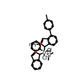 CCCC1=Cc2c(-c3ccc(C)cc3)cccc2[CH]1[Zr]([Cl])([Cl])([c]1ccccc1)([CH]1C=Cc2ccccc21)[SiH](C)C